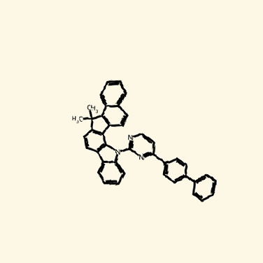 CC1(C)c2ccc3c4ccccc4n(-c4nccc(-c5ccc(-c6ccccc6)cc5)n4)c3c2-c2ccc3ccccc3c21